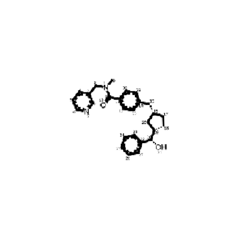 CN(Cc1cccnc1)C(=O)c1ccc(C[C@@H]2CC[C@H]([C@H](O)c3ccccc3)C2)cc1